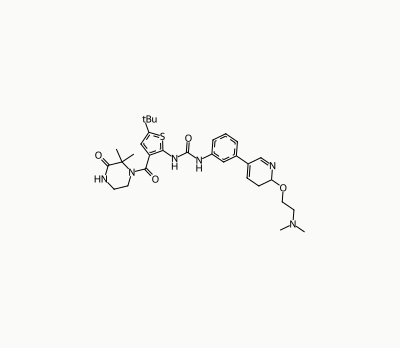 CN(C)CCOC1CC=C(c2cccc(NC(=O)Nc3sc(C(C)(C)C)cc3C(=O)N3CCNC(=O)C3(C)C)c2)C=N1